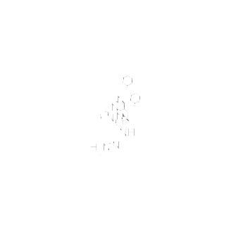 CN(C)C(N)CCCC(C(N)=O)=C(N1C=CC=CC1)n1ncc2c(-c3ccccc3Oc3ccccc3)ncnc21